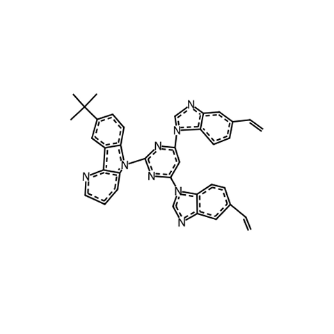 C=Cc1ccc2c(c1)ncn2-c1cc(-n2cnc3cc(C=C)ccc32)nc(-n2c3ccc(C(C)(C)C)cc3c3ncccc32)n1